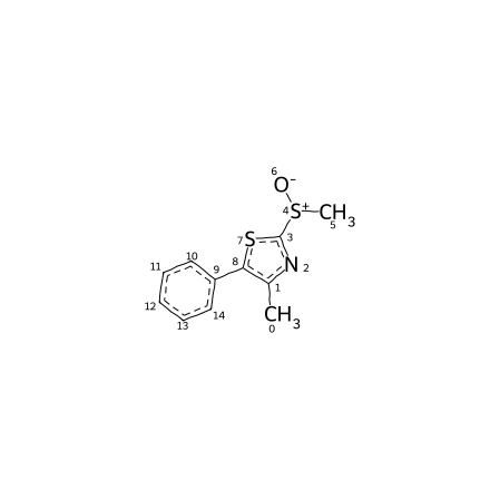 Cc1nc([S+](C)[O-])sc1-c1ccccc1